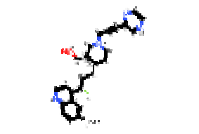 COc1ccc2nccc([C@@H](F)CC[C@@H]3CCN(CC#Cc4cnccn4)C[C@@H]3CO)c2c1